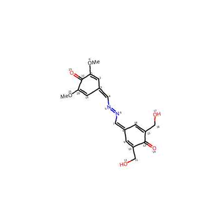 COC1=CC(=CN=NC=C2C=C(CO)C(=O)C(CO)=C2)C=C(OC)C1=O